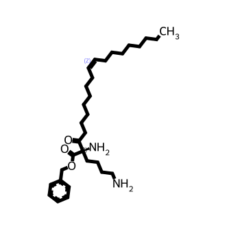 CCCCCCCC/C=C\CCCCCCCC(=O)[C@](N)(CCCCN)C(=O)OCc1ccccc1